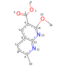 COC(=O)c1cc2ccc(C)nc2nc1OC